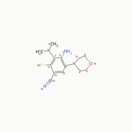 CC(C)c1c(N)c(C2CCOCC2)cc(C#N)c1F